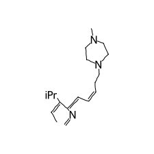 C=NC(=C\C=C/CCN1CCN(C)CC1)/C(=C\C)C(C)C